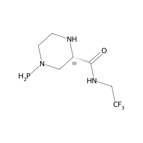 O=C(NCC(F)(F)F)[C@@H]1CN(P)CCN1